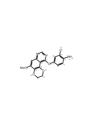 COc1cc2ncnc(Oc3ccc(N)c(Cl)c3)c2c2c1OCCO2